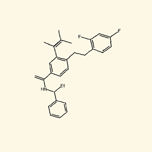 C=C(NC(CC)c1ccccc1)c1ccc(CCc2ccc(F)cc2F)c(C(C)=C(C)C)c1